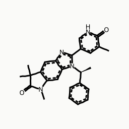 Cc1cc(-c2nc3cc4c(cc3n2[C@@H](C)c2ccccc2)N(C)C(=O)C4(C)C)c[nH]c1=O